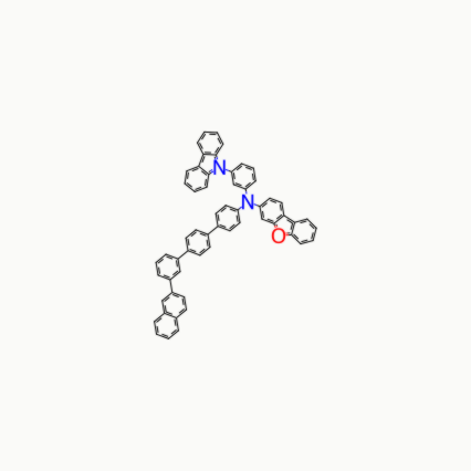 c1cc(-c2ccc(-c3ccc(N(c4cccc(-n5c6ccccc6c6ccccc65)c4)c4ccc5c(c4)oc4ccccc45)cc3)cc2)cc(-c2ccc3ccccc3c2)c1